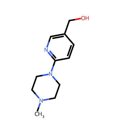 CN1CCN(c2ccc(CO)cn2)CC1